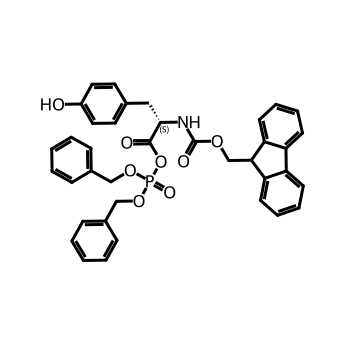 O=C(N[C@@H](Cc1ccc(O)cc1)C(=O)OP(=O)(OCc1ccccc1)OCc1ccccc1)OCC1c2ccccc2-c2ccccc21